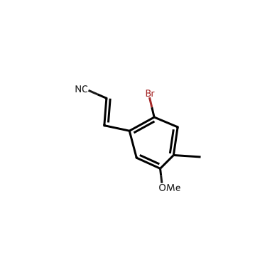 COc1cc(C=CC#N)c(Br)cc1C